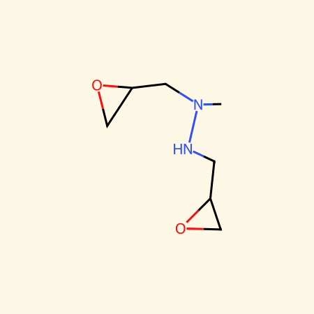 CN(CC1CO1)NCC1CO1